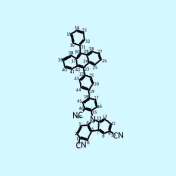 N#Cc1ccc2c(c1)c1cc(C#N)ccc1n2-c1ccc(-c2ccc(-c3c4ccccc4c(-c4ccccc4)c4ccccc34)cc2)cc1C#N